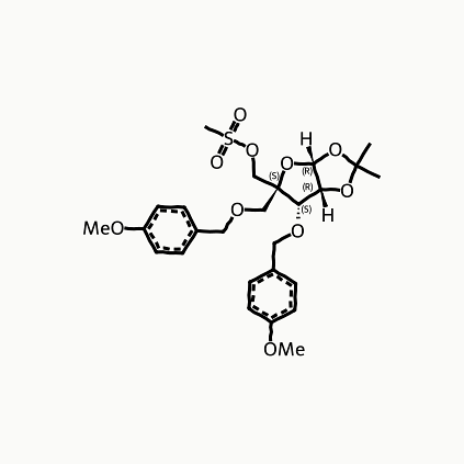 COc1ccc(COC[C@@]2(COS(C)(=O)=O)O[C@@H]3OC(C)(C)O[C@@H]3[C@@H]2OCc2ccc(OC)cc2)cc1